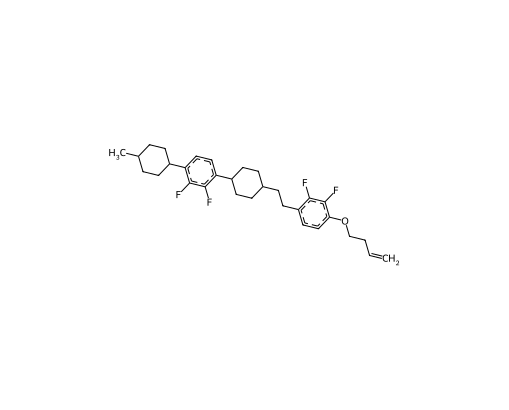 C=CCCOc1ccc(CCC2CCC(c3ccc(C4CCC(C)CC4)c(F)c3F)CC2)c(F)c1F